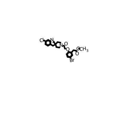 COC(=O)Cc1cc(Br)ccc1OCC(=O)N1CCC(C#N)(Cc2ccc(Cl)cc2)CC1